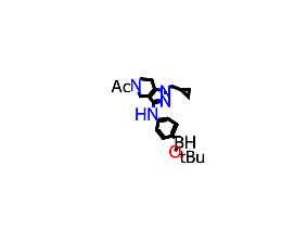 CC(=O)N1CCc2c(c(Nc3ccc(BOC(C)(C)C)cc3)nn2CC2CC2)C1